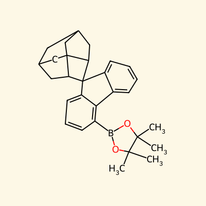 CC1(C)OB(c2cccc3c2-c2ccccc2C32C3CC4CC5CC2C3(C4)C5)OC1(C)C